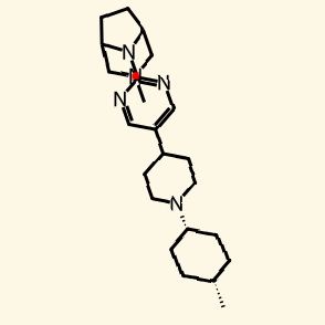 CN1CC2CCC(C1)N2c1ncc(C2CCN([C@H]3CC[C@@H](C)CC3)CC2)cn1